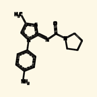 Cc1cn(-c2ccc(N)cc2)/c(=N/C(=O)N2CCCC2)s1